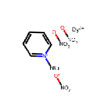 CCCC[n+]1ccccc1.O=[N+]([O-])[O-].O=[N+]([O-])[O-].O=[N+]([O-])[O-].[Dy+2]